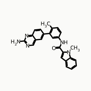 Cc1ccc(NC(=O)c2cc3ccccc3n2C)cc1-c1ccc2nc(N)ncc2c1